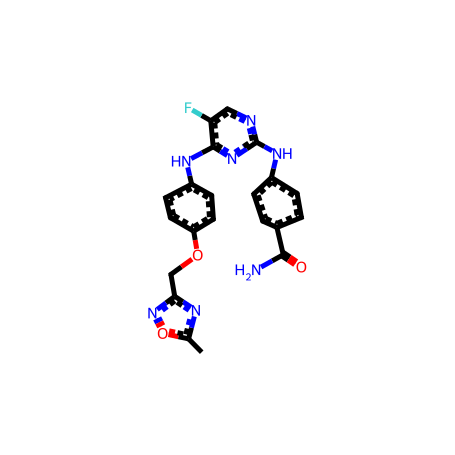 Cc1nc(COc2ccc(Nc3nc(Nc4ccc(C(N)=O)cc4)ncc3F)cc2)no1